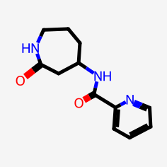 O=C1CC(NC(=O)c2ccccn2)CCCN1